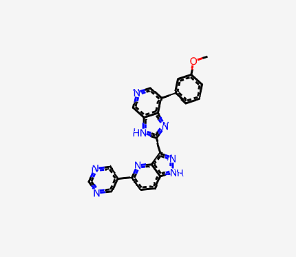 COc1cccc(-c2cncc3[nH]c(-c4n[nH]c5ccc(-c6cncnc6)nc45)nc23)c1